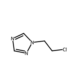 ClCCn1cncn1